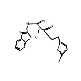 CCc1ccc(CCC(=O)N(N)C(=N)Nc2nc3ccccc3o2)o1